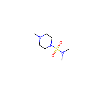 CN1CCN(S(=O)(=O)N(C)C)CC1